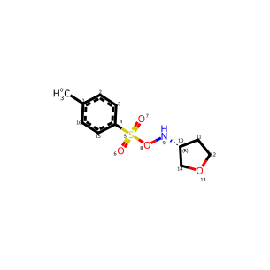 Cc1ccc(S(=O)(=O)ON[C@@H]2CCOC2)cc1